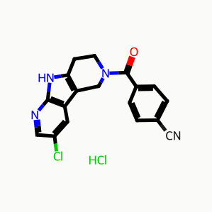 Cl.N#Cc1ccc(C(=O)N2CCc3[nH]c4ncc(Cl)cc4c3C2)cc1